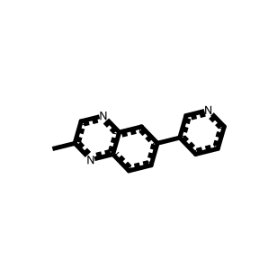 Cc1cnc2cc(-c3cccnc3)ccc2n1